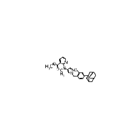 COC(=O)c1cccnc1N(C)c1cnn(Cc2ccc(C34CC5CC(CC(C5)C3)C4)cc2Cl)c1